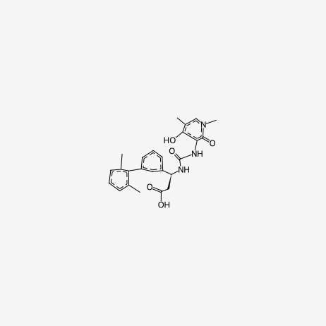 Cc1cn(C)c(=O)c(NC(=O)N[C@@H](CC(=O)O)c2cccc(-c3c(C)cccc3C)c2)c1O